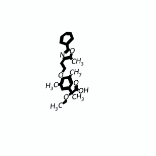 CCO[C@](C)(C(=O)O)c1cc(C)c(OCCc2nc(-c3ccccc3)oc2C)c(C)c1